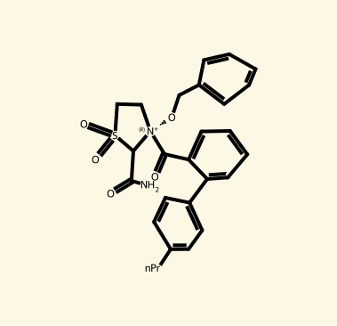 CCCc1ccc(-c2ccccc2C(=O)[N@+]2(OCc3ccccc3)CCS(=O)(=O)C2C(N)=O)cc1